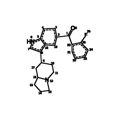 O=C(c1ccc2[nH]cc(C3CCN4CCCC4C3)c2c1)c1ccccc1F